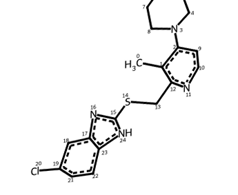 Cc1c(N2CCOCC2)ccnc1CSc1nc2cc(Cl)ccc2[nH]1